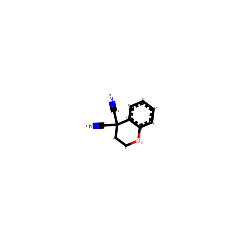 N#CC1(C#N)CCOc2ccccc21